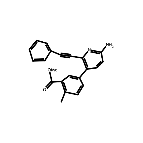 COC(=O)c1cc(-c2ccc(N)nc2C#Cc2ccccc2)ccc1C